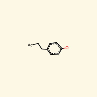 CC(=O)CCc1ccc([O])cc1